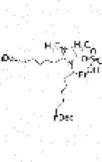 CCCCCCCCCCCCCCCC(CC)N1CCN(C)C1CCCCCCCCCCCCCCC.COS(=O)(=O)O